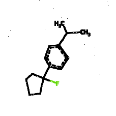 CC(C)c1ccc(C2(F)CCCC2)cc1